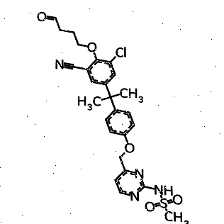 CC(C)(c1ccc(OCc2ccnc(NS(C)(=O)=O)n2)cc1)c1cc(Cl)c(OCCCC=O)c(C#N)c1